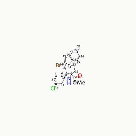 COC(=O)C1(Nc2cccc(Cl)c2)CCC2(CC1)C(Br)=Cc1cc(C)ccc12